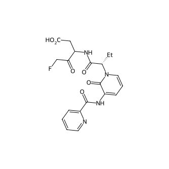 CC[C@@H](C(=O)NC(CC(=O)O)C(=O)CF)n1cccc(NC(=O)c2ccccn2)c1=O